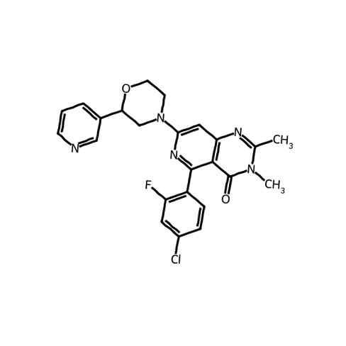 Cc1nc2cc(N3CCOC(c4cccnc4)C3)nc(-c3ccc(Cl)cc3F)c2c(=O)n1C